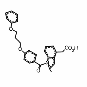 Cc1cc2c(CC(=O)O)cccc2n1C(=O)c1ccc(OCCCOc2ccccc2)cc1